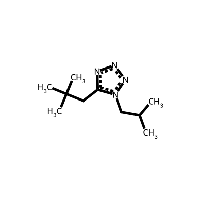 CC(C)Cn1nnnc1CC(C)(C)C